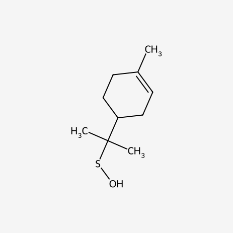 CC1=CCC(C(C)(C)SO)CC1